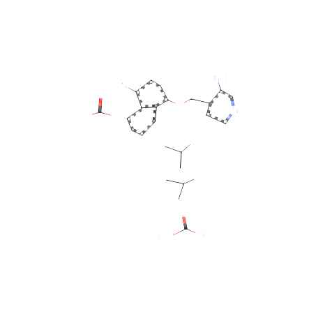 CC(C)C.CC(C)C.Nc1cnccc1COc1ccc(N)c2ccccc12.O=C(O)O.O=C(O)O